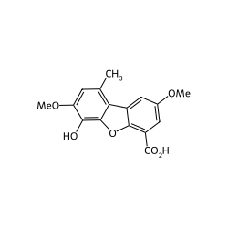 COc1cc(C(=O)O)c2oc3c(O)c(OC)cc(C)c3c2c1